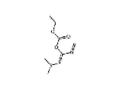 C=NC(=CN(C)C)OC(=O)OCC